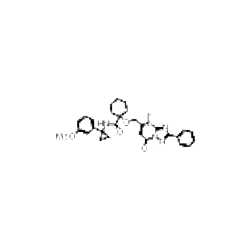 COc1cccc(C2(NC(=O)C3(OCc4cc(=O)n5nc(-c6ccccc6)nc5[nH]4)CCCCC3)CC2)c1